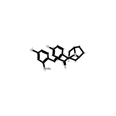 CC(=O)Nc1cc(Cl)ccc1C=CC(=O)N1CC2CCC(C1)N2Cc1ccc(F)cc1